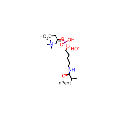 CCCCCC(C)C(=O)NCCCCCOP(=O)(O)O[C@H](CC(=O)O)C[N+](C)(C)C.[OH-]